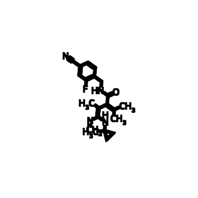 C=N/C(NC1(C)CC1)=C(\C)C(C(=O)NCc1ccc(C#N)cc1F)=C(C)C